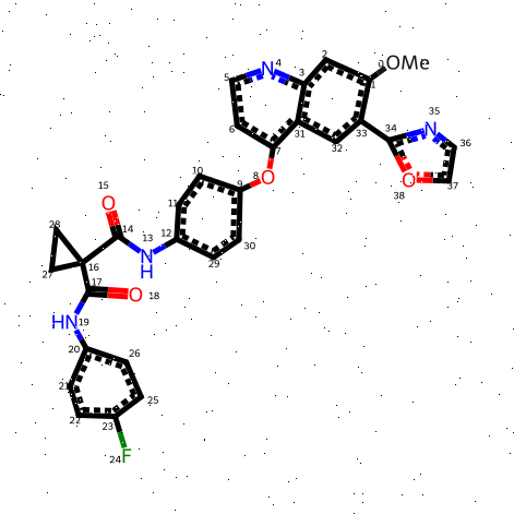 COc1cc2nccc(Oc3ccc(NC(=O)C4(C(=O)Nc5ccc(F)cc5)CC4)cc3)c2cc1-c1ncco1